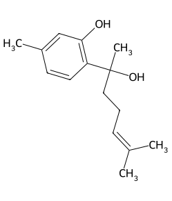 CC(C)=CCCC(C)(O)c1ccc(C)cc1O